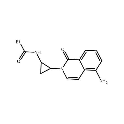 CCC(=O)NC1CC1n1ccc2c(N)cccc2c1=O